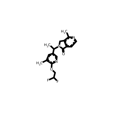 Cc1cc(C(C)N2Cc3c(ccnc3C)C2=O)cnc1OCC(F)F